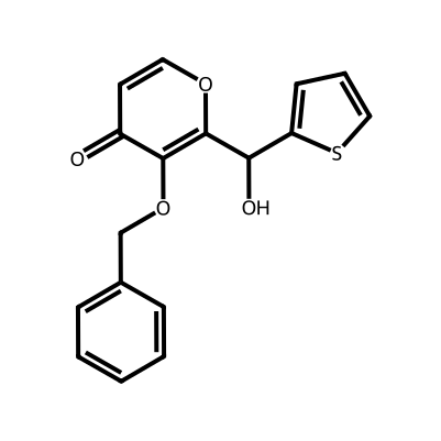 O=c1ccoc(C(O)c2cccs2)c1OCc1ccccc1